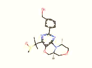 C[C@@H]1COC[C@H]2COc3c(nc(-c4cccc(CO)c4)nc3C(C)(C)[S+](C)[O-])N21